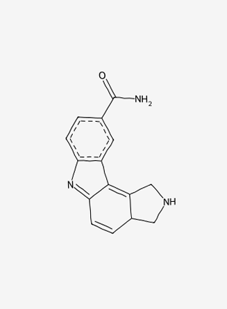 NC(=O)c1ccc2c(c1)C1=C3CNCC3C=CC1=N2